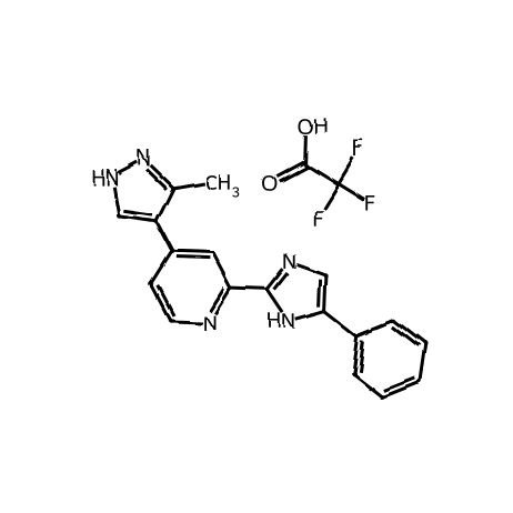 Cc1n[nH]cc1-c1ccnc(-c2ncc(-c3ccccc3)[nH]2)c1.O=C(O)C(F)(F)F